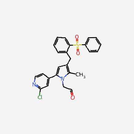 Cc1c(Cc2ccccc2S(=O)(=O)c2ccccc2)cc(-c2ccnc(Cl)c2)n1CC=O